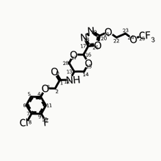 O=C(COc1ccc(Cl)c(F)c1)NC1COC(c2nnc(OCCOC(F)(F)F)o2)OC1